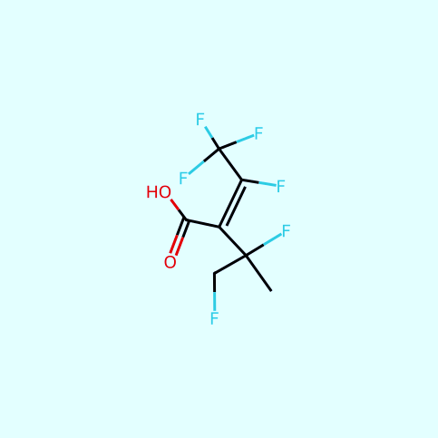 CC(F)(CF)C(C(=O)O)=C(F)C(F)(F)F